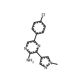 Cn1cc(-c2nc(-c3ccc(Cl)cc3)cnc2N)cn1